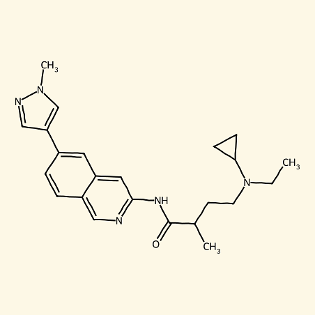 CCN(CCC(C)C(=O)Nc1cc2cc(-c3cnn(C)c3)ccc2cn1)C1CC1